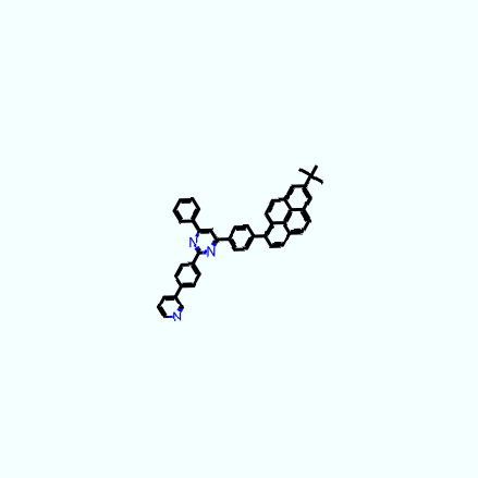 CC(C)(C)c1cc2ccc3ccc(-c4ccc(-c5cc(-c6ccccc6)nc(-c6ccc(-c7cccnc7)cc6)n5)cc4)c4ccc(c1)c2c34